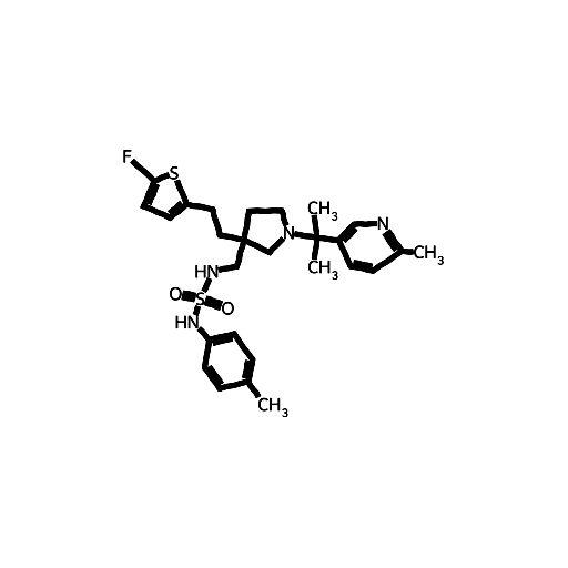 Cc1ccc(NS(=O)(=O)NCC2(CCc3ccc(F)s3)CCN(C(C)(C)c3ccc(C)nc3)C2)cc1